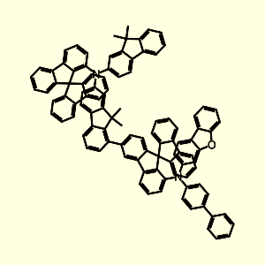 CC1(C)c2ccccc2-c2ccc(N(c3ccc4c(c3)C(C)(C)c3c(-c5ccc6c(c5)-c5cccc(N(c7ccc(-c8ccccc8)cc7)c7ccc8c(c7)oc7ccccc78)c5C65c6ccccc6-c6ccccc65)cccc3-4)c3cccc4c3C3(c5ccccc5-c5ccccc53)c3ccccc3-4)cc21